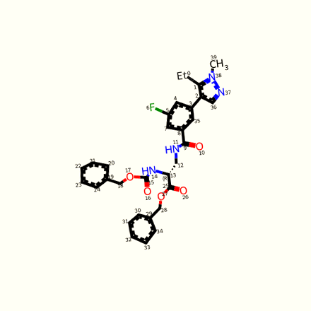 CCc1c(-c2cc(F)cc(C(=O)NC[C@@H](NC(=O)OCc3ccccc3)C(=O)OCc3ccccc3)c2)cnn1C